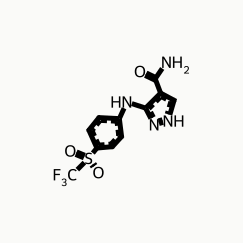 NC(=O)c1c[nH]nc1Nc1ccc(S(=O)(=O)C(F)(F)F)cc1